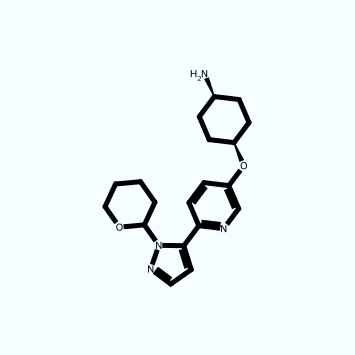 N[C@H]1CC[C@@H](Oc2ccc(-c3ccnn3C3CCCCO3)nc2)CC1